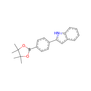 CC1(C)OB(c2ccc(-c3cc4ccccc4[nH]3)cc2)OC1(C)C